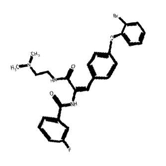 CN(C)CCNC(=O)/C(=C\c1ccc(Oc2ccccc2Br)cc1)NC(=O)c1cccc(F)c1